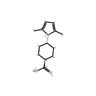 Cc1ccc(C)n1[C@H]1CC[C@H](C(=O)O)CC1